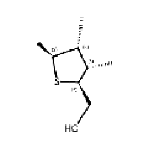 C[C@H]1[C@@H](F)[C@H](C)S[C@@H]1CO